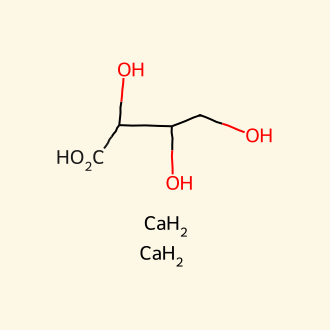 O=C(O)C(O)C(O)CO.[CaH2].[CaH2]